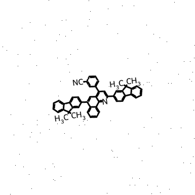 CC1(C)c2ccccc2-c2ccc(-c3cc(-c4cccc(C#N)c4)c4cc(-c5ccc6c(c5)C(C)(C)c5ccccc5-6)c5ccccc5c4n3)cc21